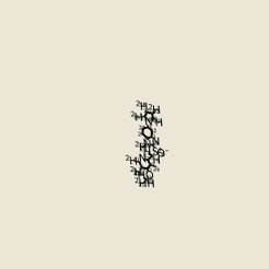 [2H]c1nc(C([2H])([2H])[S+]([O-])c2nc3cc(-n4c([2H])c([2H])c([2H])c4[2H])ccc3n2[2H])c(C)c(OC([2H])([2H])[2H])c1[2H]